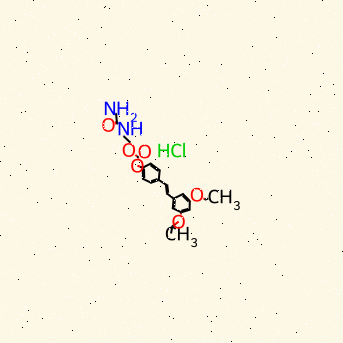 CCOc1cc(C=Cc2ccc(OC(=O)OCCNC(=O)CN)cc2)cc(OCC)c1.Cl